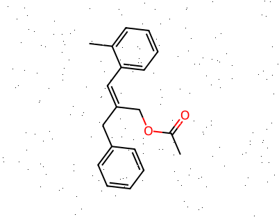 CC(=O)OC/C(=C\c1ccccc1C)Cc1ccccc1